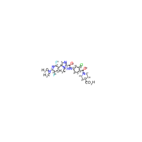 CN(C)c1nc(F)c(-c2cnc(C(=O)Nc3ccc(C(=O)N4CCC(C(=O)O)CC4)c(Cl)c3)n2C)cc1F